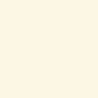 COC(=O)Cc1ccsc1-c1ccc([SH](C)(=O)CO)cc1